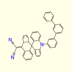 N#CC(C#N)=C1c2ccccc2C2(c3ccccc3N(c3cccc(-c4cccc(-c5ccccc5)c4)c3)c3ccccc32)C2C=CC=CC12